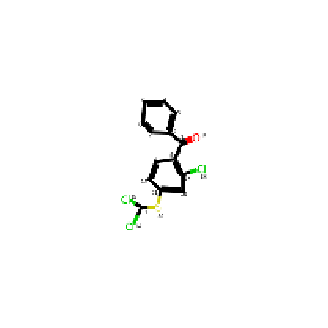 O=C(c1ccccc1)c1ccc(SC(Cl)Cl)cc1Cl